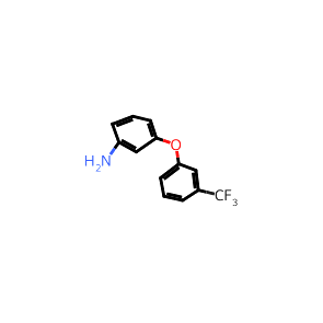 Nc1cccc(Oc2cccc(C(F)(F)F)c2)c1